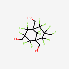 OCC1(F)C(F)(F)C2(CO)C(F)(F)C(F)(CF)C(F)(F)C(CO)(C1(F)F)C2(F)F